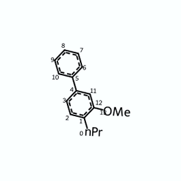 CCCc1ccc(-c2ccccc2)cc1OC